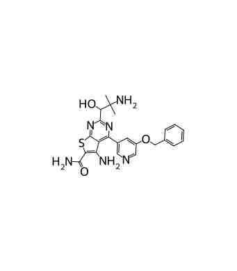 CC(C)(N)C(O)c1nc(-c2cncc(OCc3ccccc3)c2)c2c(N)c(C(N)=O)sc2n1